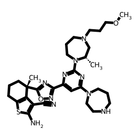 COCCCN1CCCN(c2nc(-c3noc([C@@]4(C)CCCc5sc(N)c(C#N)c54)n3)cc(N3CCCNCC3)n2)[C@@H](C)C1